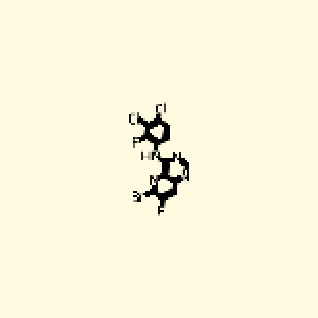 Fc1cc2ncnc(Nc3ccc(Cl)c(Cl)c3F)c2nc1Br